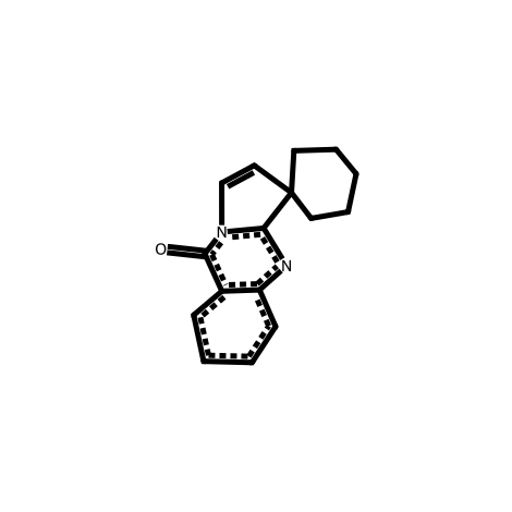 O=c1c2ccccc2nc2n1C=CC21CCCCC1